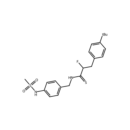 CC(C)(C)c1ccc(CC(F)C(=S)NCc2ccc(NS(C)(=O)=O)cc2)cc1